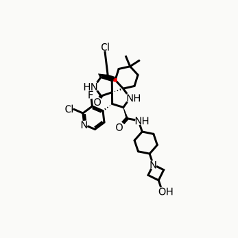 CC1(C)CCC2(CC1)N[C@@H](C(=O)NC1CCC(N3CC(O)C3)CC1)[C@H](c1ccnc(Cl)c1F)[C@]21C(=O)Nc2cc(Cl)ccc21